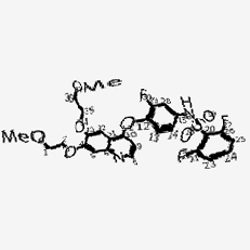 COCCOc1cc2nccc(Oc3ccc(NS(=O)(=O)c4c(F)cccc4F)cc3F)c2cc1OCCOC